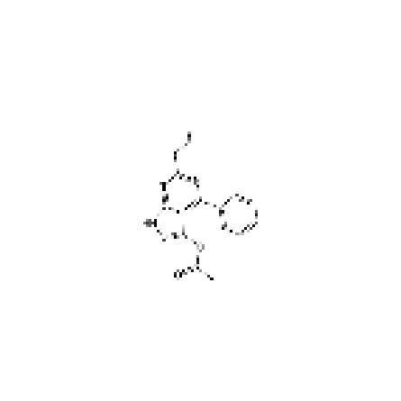 CCCc1nc(-c2ccccc2)c2c(OC(C)=O)c[nH]c2n1